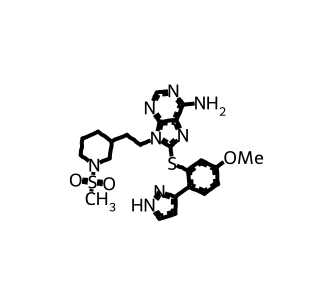 COc1ccc(-c2cc[nH]n2)c(Sc2nc3c(N)ncnc3n2CCC2CCCN(S(C)(=O)=O)C2)c1